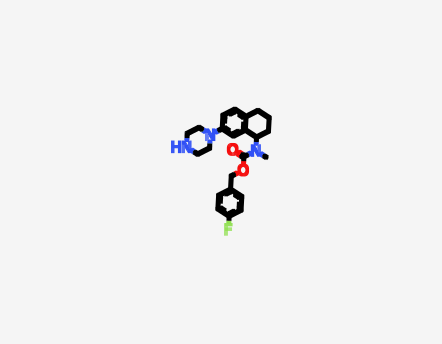 CN(C(=O)OCc1ccc(F)cc1)C1CCCc2ccc(N3CCNCC3)cc21